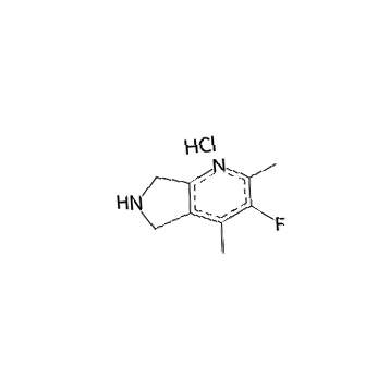 Cc1nc2c(c(C)c1F)CNC2.Cl